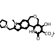 Cn1c(CN2CCCC2)cc2cc3c(cc21)COCc1c-3[nH]c(=O)c(C(=O)O)c1O